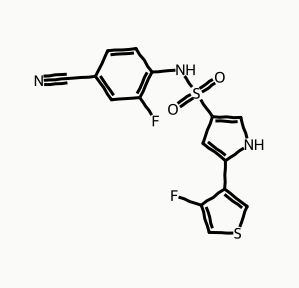 N#Cc1ccc(NS(=O)(=O)c2c[nH]c(-c3cscc3F)c2)c(F)c1